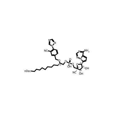 CCCCCCCCCCCCCCCCCCC[C@H](COP(=O)(O)OC[C@@]1(C#N)O[C@@H](c2ccc3c(N)ncnn23)[C@H](O)[C@@H]1O)OCc1ccc(-n2cncn2)c(C#N)c1